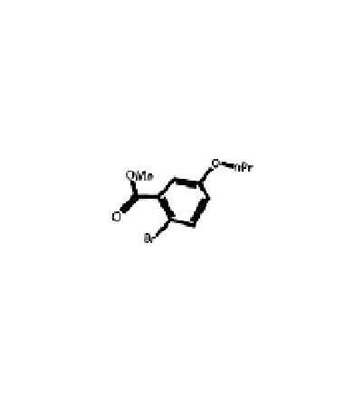 CCCOc1ccc(Br)c(C(=O)OC)c1